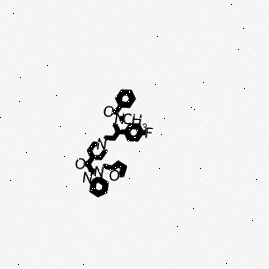 CN(CC(CCN1CCC(C(=O)c2nc3ccccc3n2Cc2ccco2)CC1)c1ccc(F)cc1)C(=O)c1ccccc1